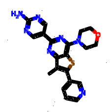 Cc1c(-c2c[c]cnc2)sc2c(N3CCOCC3)nc(-c3cnc(N)nc3)nc12